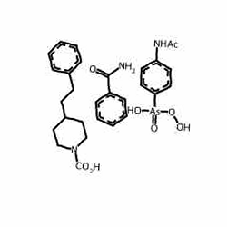 CC(=O)Nc1ccc([As](=O)(O)OO)cc1.NC(=O)c1ccccc1.O=C(O)N1CCC(CCc2ccccc2)CC1